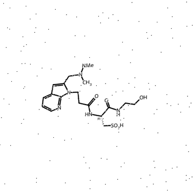 CNN(C)Cc1cc2cccnc2n1CCC(=O)N[C@@H](CS(=O)(=O)O)C(=O)NCCO